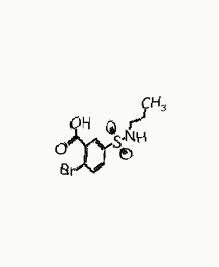 CCCNS(=O)(=O)c1ccc(Br)c(C(=O)O)c1